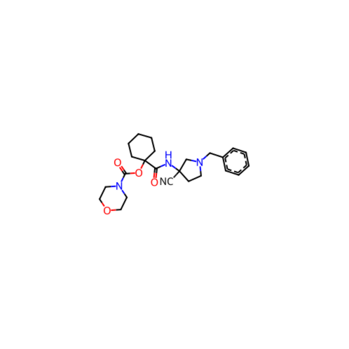 N#CC1(NC(=O)C2(OC(=O)N3CCOCC3)CCCCC2)CCN(Cc2ccccc2)C1